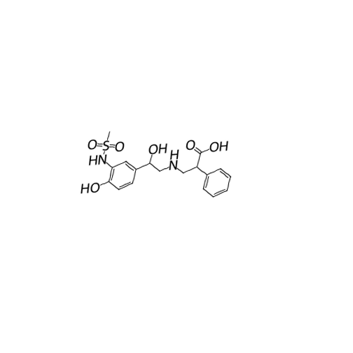 CS(=O)(=O)Nc1cc(C(O)CNCC(C(=O)O)c2ccccc2)ccc1O